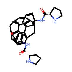 O=C(Nc1cccc(-c2cc3ccc2CCc2ccc(c(-c4cccc(NC(=O)[C@@H]5CCCN5)c4)c2)CC3)c1)[C@@H]1CCCN1